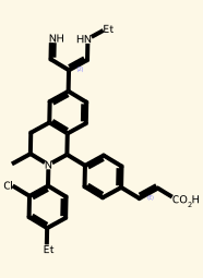 CCN/C=C(\C=N)c1ccc2c(c1)CC(C)N(c1ccc(CC)cc1Cl)C2c1ccc(/C=C/C(=O)O)cc1